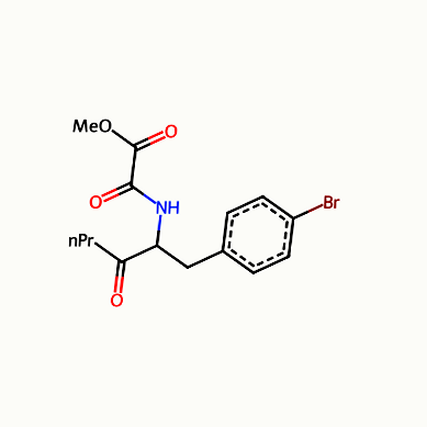 CCCC(=O)C(Cc1ccc(Br)cc1)NC(=O)C(=O)OC